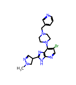 CN1CC(c2nc3c(N4CCN(Cc5cccnc5)CC4)c(Br)cnc3[nH]2)C=N1